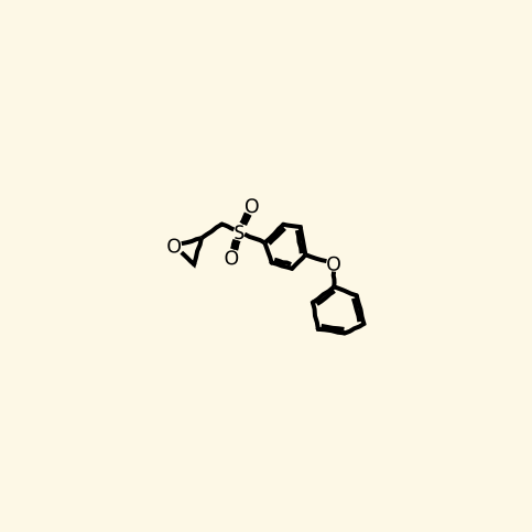 O=S(=O)(CC1CO1)c1ccc(Oc2ccccc2)cc1